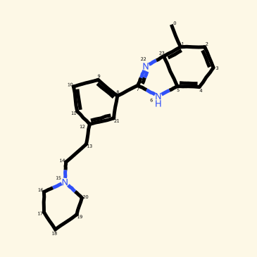 Cc1cccc2[nH]c(-c3cccc(CCN4CCCCC4)c3)nc12